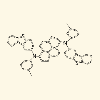 Cc1cccc(N(c2ccc3sc4ccccc4c3c2)c2ccc3ccc4c(N(c5cccc(C)c5)c5ccc6sc7ccccc7c6c5)ccc5ccc2c3c54)c1